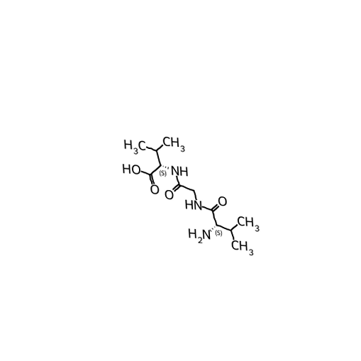 CC(C)[C@H](N)C(=O)NCC(=O)N[C@H](C(=O)O)C(C)C